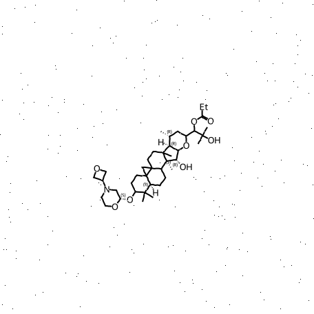 CCC(=O)OC(C1C[C@@H](C)[C@H]2C(O1)[C@H](O)[C@@]1(C)C3CC[C@H]4C(C)(C)C(O[C@H]5CN(C6COC6)CCO5)CCC45CC35CCC21C)C(C)(C)O